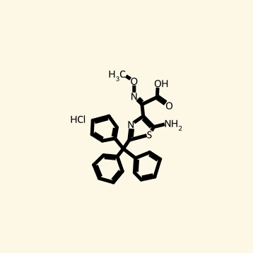 CON=C(C(=O)O)c1nc(C(c2ccccc2)(c2ccccc2)c2ccccc2)sc1N.Cl